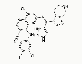 N#Cc1cnc2c(Cl)cc(N[C@H](C3=CNNN3)c3csc4c3CCNC4)cc2c1Nc1ccc(F)c(Cl)c1